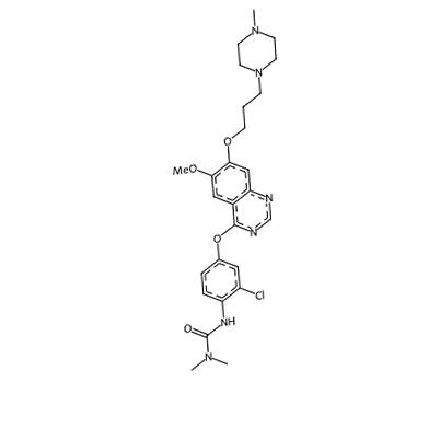 COc1cc2c(Oc3ccc(NC(=O)N(C)C)c(Cl)c3)ncnc2cc1OCCCN1CCN(C)CC1